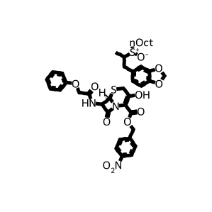 CCCCCCCC[S+]([O-])C(C)Cc1ccc2c(c1)OCO2.O=C(COc1ccccc1)NC1C(=O)N2C(C(=O)OCc3ccc([N+](=O)[O-])cc3)=C(O)CS[C@H]12